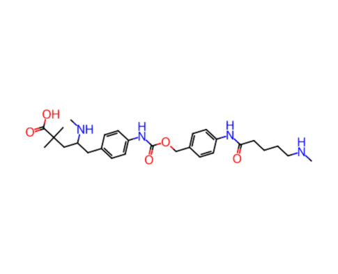 CNCCCCC(=O)Nc1ccc(COC(=O)Nc2ccc(CC(CC(C)(C)C(=O)O)NC)cc2)cc1